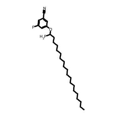 CCCCCCCCCCCCCCCCCCCC(P)Oc1cc(F)cc(C#N)c1